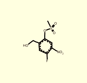 CS(=O)(=O)Oc1cc([N+](=O)[O-])c(F)cc1CO